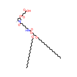 CCCCCCCCCCCCCCCCCCOCC(COC(=O)NCCCCCC(=O)N1C[C@H](OC(=O)CCC(=O)O)C[C@H]1C)OCCCCCCCCCCCCCCCCCC